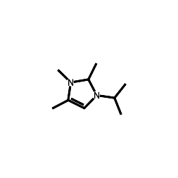 CC1=CN(C(C)C)C(C)N1C